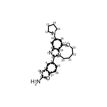 Nc1nc2cc(-c3nc4cc(N5CCCC5)cc5c4n3CCCCO5)ccc2o1